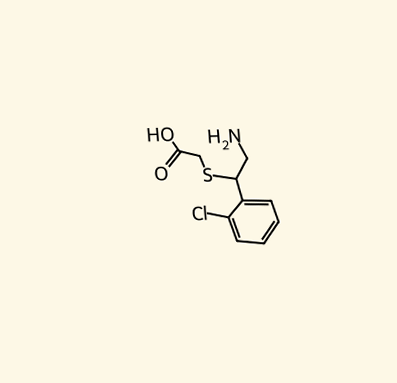 NCC(SCC(=O)O)c1ccccc1Cl